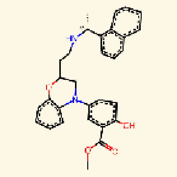 COC(=O)c1cc(N2CC(CCN[C@H](C)c3cccc4ccccc34)Oc3ccccc32)ccc1O